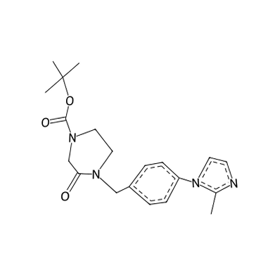 Cc1nccn1-c1ccc(CN2CCN(C(=O)OC(C)(C)C)CC2=O)cc1